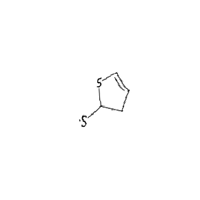 [S]C1CC=CS1